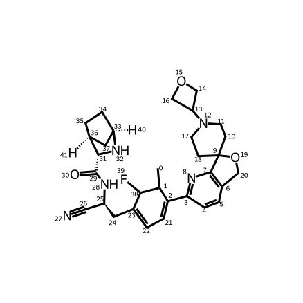 CC1C(c2ccc3c(n2)C2(CCN(C4COC4)CC2)OC3)=CC=C(C[C@@H](C#N)NC(=O)[C@H]2N[C@@H]3CC[C@H]2C3)C1F